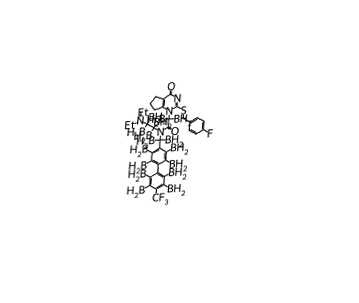 Bc1c(B)c(C(F)(F)F)c(B)c(B)c1-c1c(B)c(B)c(C(B)(B)N(C(=O)C(B)(B)n2c(SCc3ccc(F)cc3)nc(=O)c3c2CCC3)C(B)(B)C(B)(B)N(CC)CC)c(B)c1B